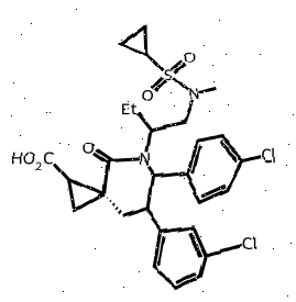 CCC(CN(C)S(=O)(=O)C1CC1)N1C(=O)[C@@]2(CC(c3cccc(Cl)c3)C1c1ccc(Cl)cc1)CC2C(=O)O